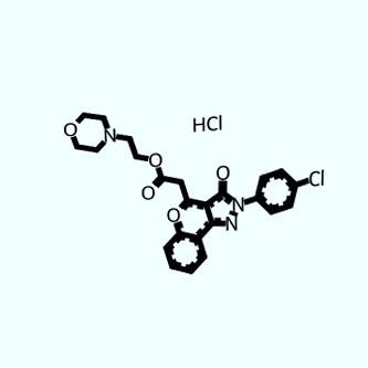 Cl.O=C(Cc1oc2ccccc2c2nn(-c3ccc(Cl)cc3)c(=O)c1-2)OCCN1CCOCC1